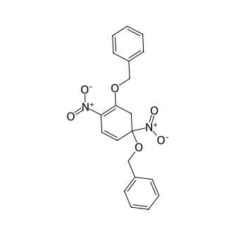 O=[N+]([O-])C1=C(OCc2ccccc2)CC(OCc2ccccc2)([N+](=O)[O-])C=C1